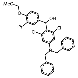 COCOc1ccc(C(O)c2c(Cl)cc(N(Cc3ccccc3)Cc3ccccc3)cc2Cl)cc1C(C)C